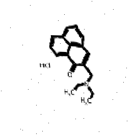 CCN(CC)CC1=Cc2cccc3cccc(c23)C1=O.Cl